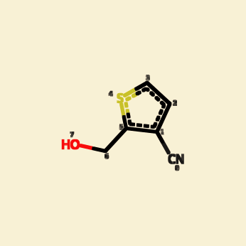 N#Cc1ccsc1CO